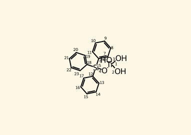 [OH][Ti]([OH])([OH])[O][Si](c1ccccc1)(c1ccccc1)c1ccccc1